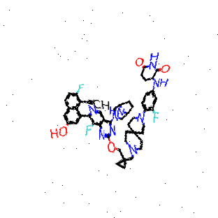 C#Cc1c(F)ccc2cc(O)cc(-c3ncc4c(N5CC6CCC(C5)N6)nc(OCC5(CN6CCC7(CC6)CCN(c6ccc(NC8CCC(=O)NC8=O)cc6F)CC7)CC5)nc4c3F)c12